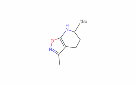 Cc1noc2c1CCC(C(C)(C)C)N2